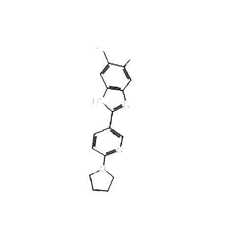 Fc1cc2nc(-c3ccc(N4CCCC4)nc3)[nH]c2cc1Cl